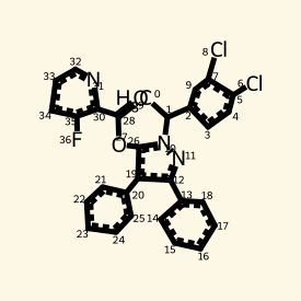 CC(c1ccc(Cl)c(Cl)c1)n1nc(-c2ccccc2)c(-c2ccccc2)c1OC(=O)c1ncccc1F